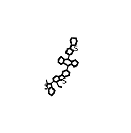 C=Cc1c(-c2c(C)sc3ccccc23)ccc2c1sc1ccc(-c3c4ccccc4c(-c4ccc5c(c4)sc4ccccc45)c4ccccc34)cc12